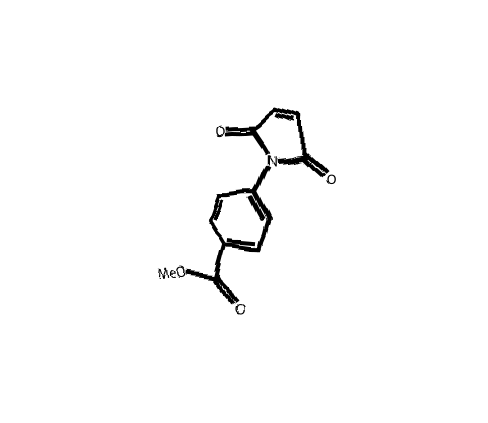 COC(=O)c1ccc(N2C(=O)C=CC2=O)cc1